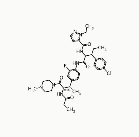 CCC(=O)N[C@@H](C(=O)N1CCN(C)CC1)[C@@H](C)c1ccc(NC(=O)C(NC(=O)c2ccnn2CC)C(CC)c2ccc(Cl)cc2)c(F)c1